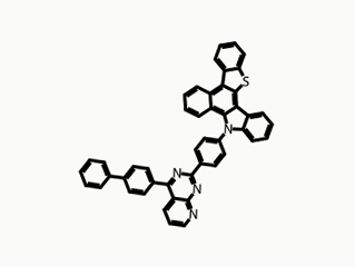 c1ccc(-c2ccc(-c3nc(-c4ccc(-n5c6ccccc6c6c7sc8ccccc8c7c7ccccc7c65)cc4)nc4ncccc34)cc2)cc1